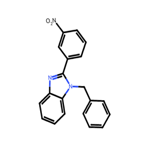 O=[N+]([O-])c1cccc(-c2nc3ccccc3n2Cc2ccccc2)c1